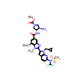 COc1cc(C(=O)N[C@@H]2CN(C(=O)OC(C)(C)C)C[C@H]2N)cc2nc(-c3cc4ccc(N(C(F)F)S(C)(=O)=O)nc4n3CC3CC3)n(C)c12